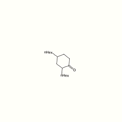 CCCCCCC1CCC(=O)C(CCCCCC)C1